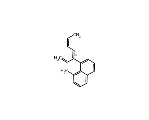 C=C/C(=C\C=C/C)c1cccc2cccc(P)c12